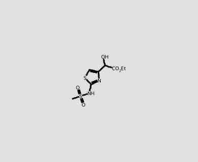 CCOC(=O)C(O)c1csc(NS(C)(=O)=O)n1